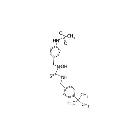 CC(C)(C)c1ccc(CNC(=S)N(O)Cc2ccc(NS(C)(=O)=O)cc2)cc1